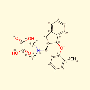 Cc1ccccc1O[C@@H]1c2ccccc2C[C@@H]1CN(C)C.O=C(O)C(=O)O